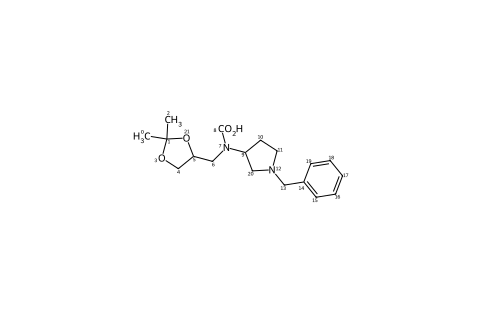 CC1(C)OCC(CN(C(=O)O)C2CCN(Cc3ccccc3)C2)O1